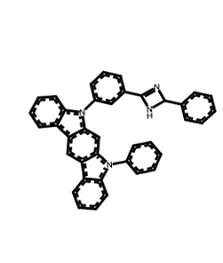 c1ccc(C2N=C(c3cccc(-n4c5ccccc5c5cc6c7ccccc7n(-c7ccccc7)c6cc54)c3)N2)cc1